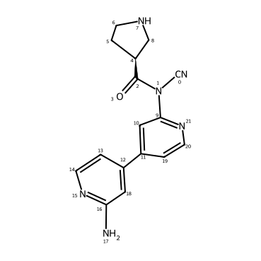 N#CN(C(=O)[C@H]1CCNC1)c1cc(-c2ccnc(N)c2)ccn1